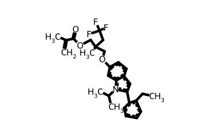 C=C(C)C(=O)OCC(C)(COc1ccc2cc(-c3ccccc3CC)n(C(C)C)c2c1)CC(F)(F)F